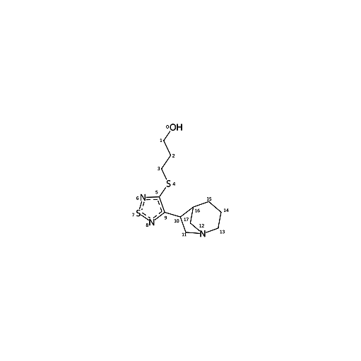 OCCCSc1nsnc1C1CN2CCCC1C2